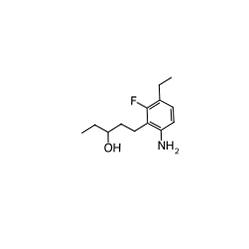 CCc1ccc(N)c(CCC(O)CC)c1F